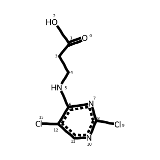 O=C(O)CCNc1nc(Cl)ncc1Cl